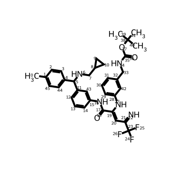 Cc1ccc(C(NCC2CC2)c2cccc(NC(=O)/C(=C/C(=N)C(F)(F)F)Nc3cccc(CNC(=O)OC(C)(C)C)c3)c2)cc1